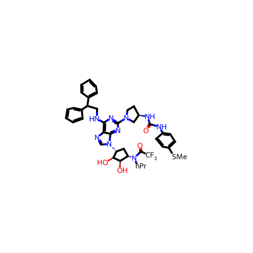 CCCN(C(=O)C(F)(F)F)[C@H]1C[C@@H](n2cnc3c(NCC(c4ccccc4)c4ccccc4)nc(N4CC[C@@H](NC(=O)Nc5ccc(SC)cc5)C4)nc32)[C@H](O)[C@@H]1O